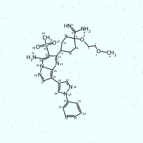 COCCOC1(C(=N)N)CCC(c2nc3c(-c4cnn(-c5ccccc5)c4)cnn3c(N)c2S(C)(=O)=O)CC1